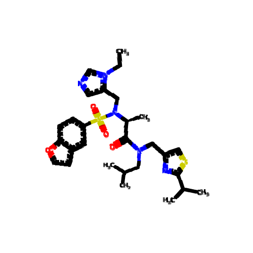 CCn1cncc1CN([C@@H](C)C(=O)N(Cc1csc(C(C)C)n1)CC(C)C)S(=O)(=O)c1ccc2occc2c1